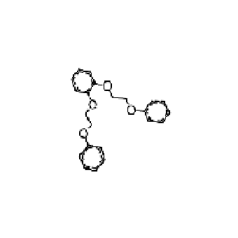 c1ccc(OCCOc2ccccc2OCCOc2ccccc2)cc1